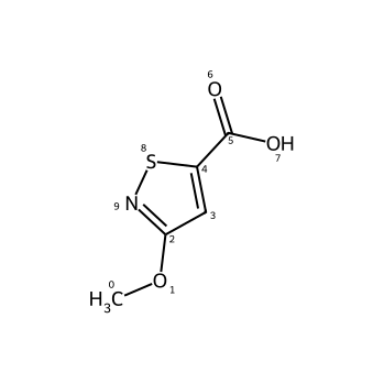 COc1cc(C(=O)O)sn1